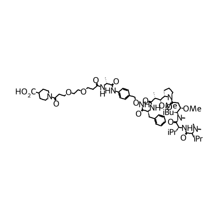 CC[C@H](C)[C@@H]([C@@H](CC(=O)N1CCC[C@H]1[C@H](OC)[C@@H](C)C(=O)N[C@@H](Cc1ccccc1)C(=O)NOCc1ccc(NC(=O)[C@@H](C)NC(=O)CCOCCOCCC(=O)N2CCC(C(=O)O)CC2)cc1)OC)N(C)C(=O)[C@@H](NC(=O)C(C(C)C)N(C)C)C(C)C